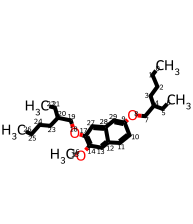 CCCCC(CC)COc1ccc2cc(OC)c(OCC(CC)CCCC)cc2c1